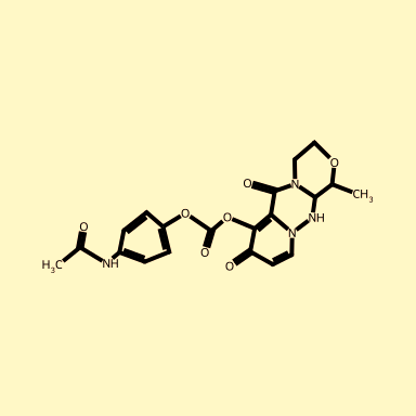 CC(=O)Nc1ccc(OC(=O)Oc2c3n(ccc2=O)NC2C(C)OCCN2C3=O)cc1